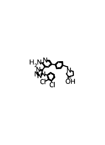 Nc1ncc(-c2ccc(CN3CC[C@@H](O)C3)cc2)cc1-c1nnnn1-c1cccc(Cl)c1Cl